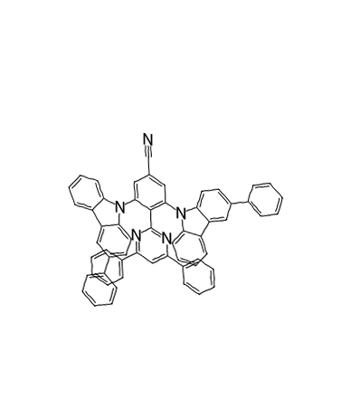 N#Cc1cc(-n2c3ccccc3c3cc(-c4ccccc4)ccc32)c(-c2nc(-c3ccccc3)cc(-c3ccccc3)n2)c(-n2c3ccccc3c3cc(-c4ccccc4)ccc32)c1